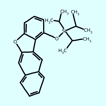 CC(C)[Si](Oc1cccc2oc3cc4ccccc4cc3c12)(C(C)C)C(C)C